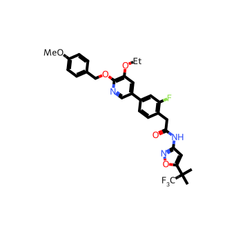 CCOc1cc(-c2ccc(CC(=O)Nc3cc(C(C)(C)C(F)(F)F)on3)c(F)c2)cnc1OCc1ccc(OC)cc1